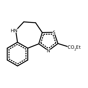 CCOC(=O)c1nc2c(s1)CCNc1ccccc1-2